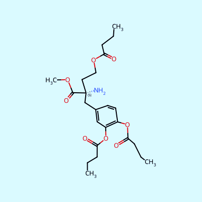 CCCC(=O)OCC[C@@](N)(Cc1ccc(OC(=O)CCC)c(OC(=O)CCC)c1)C(=O)OC